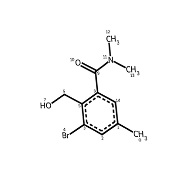 Cc1cc(Br)c(CO)c(C(=O)N(C)C)c1